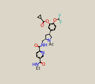 CCNC(=O)c1ccc(C(=O)NC[C@H]2C[C@@H](c3ccc(OC(F)F)c(OC(=O)C4CC4)c3)CN2C(C)=O)nc1